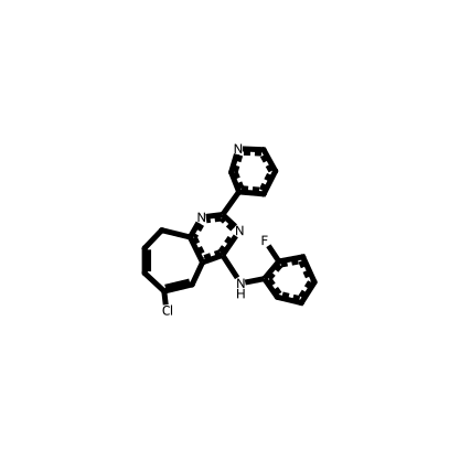 Fc1ccccc1Nc1nc(-c2cccnc2)nc2c1C=C(Cl)C=CC2